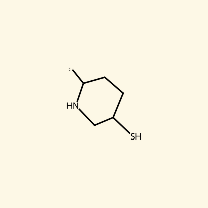 [CH]C1CCC(S)CN1